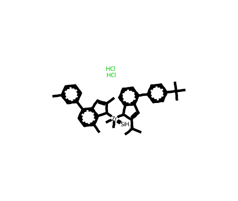 CC1=Cc2c(-c3cccc(C)c3)ccc(C)c2[CH]1[Zr]([CH3])([CH3])(=[SiH2])[CH]1C(C(C)C)=Cc2c(-c3ccc(C(C)(C)C)cc3)cccc21.Cl.Cl